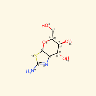 NC1=NC2C(O[C@H](CO)[C@@H](O)[C@@H]2O)S1